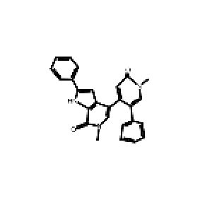 Cn1cc(-c2ccccc2)c(-c2cn(C)c(=O)c3[nH]c(-c4ccccc4)cc23)cc1=O